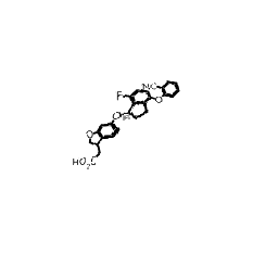 N#Cc1ccccc1Oc1ccc(F)c2c1CC[C@H]2Oc1ccc2c(c1)OCC2CC(=O)O